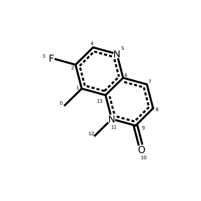 Cc1c(F)cnc2ccc(=O)n(C)c12